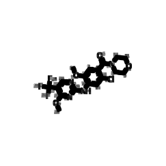 COc1cc(C(=O)N2CCOCC2)c(Cl)cc1Nc1ncc(C(F)(F)F)c(OC)n1